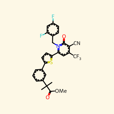 COC(=O)C(C)(C)c1cccc(-c2ccc(-c3cc(C(F)(F)F)c(C#N)c(=O)n3Cc3ccc(F)cc3F)s2)c1